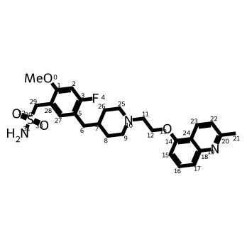 COc1cc(F)c(CC2CCN(CCOc3cccc4nc(C)ccc34)CC2)cc1CS(N)(=O)=O